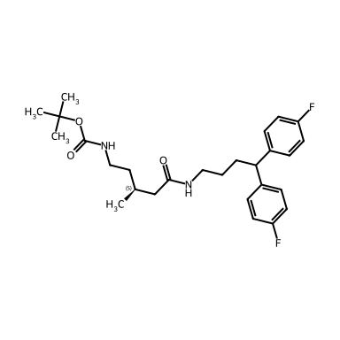 C[C@@H](CCNC(=O)OC(C)(C)C)CC(=O)NCCCC(c1ccc(F)cc1)c1ccc(F)cc1